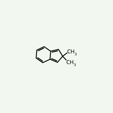 CC1(C)C=c2ccccc2=C1